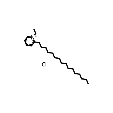 CCCCCCCCCCCCCCCCc1cccc[n+]1CC.[Cl-]